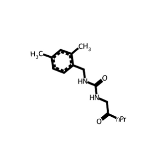 CCCC(=O)CNC(=O)NCc1ccc(C)cc1C